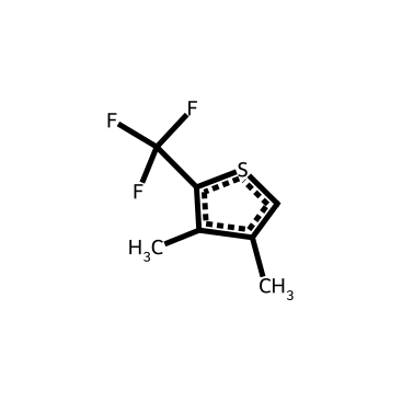 Cc1csc(C(F)(F)F)c1C